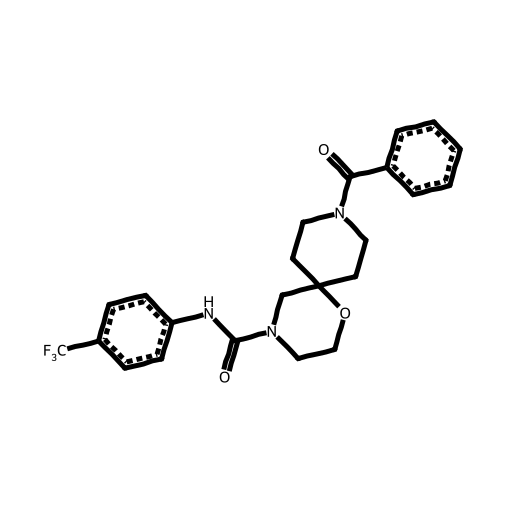 O=C(Nc1ccc(C(F)(F)F)cc1)N1CCOC2(CCN(C(=O)c3ccccc3)CC2)C1